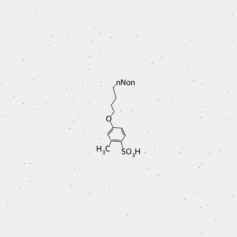 CCCCCCCCCCCCCOc1ccc(S(=O)(=O)O)c(C)c1